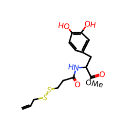 C=CCSSCCC(=O)NC(Cc1ccc(O)c(O)c1)C(=O)OC